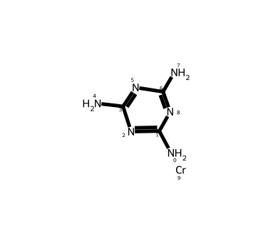 Nc1nc(N)nc(N)n1.[Cr]